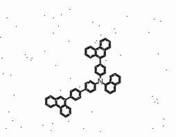 c1ccc2c(N(c3ccc(-c4ccc(-c5cc6ccccc6c6ccccc56)cc4)cc3)c3ccc(-c4cc5ccccc5c5ccccc45)cc3)cccc2c1